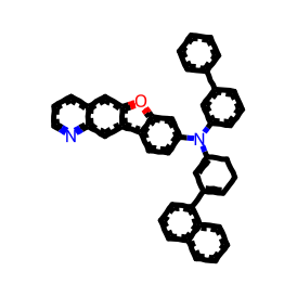 C1=C(c2cccc3ccccc23)C=C(N(c2cccc(-c3ccccc3)c2)c2ccc3c(c2)oc2cc4cccnc4cc23)CC1